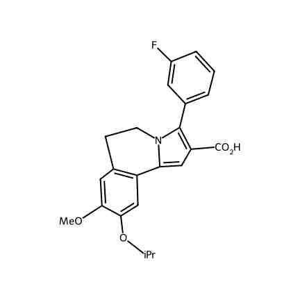 COc1cc2c(cc1OC(C)C)-c1cc(C(=O)O)c(-c3cccc(F)c3)n1CC2